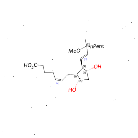 CCCCC[C@@](C)(/C=C/[C@@H]1[C@@H](C/C=C\CCCC(=O)O)[C@@H](O)C[C@H]1O)OC